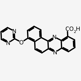 O=C(O)c1cccc2nc3ccc4c(Oc5ncccn5)cccc4c3nc12